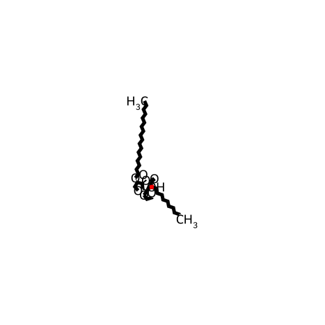 CCCCCCCCCCCCCCCCCC(=O)O[C@H]1CO[C@H](C2(CO)OCCO2)[C@@H]1OC(=O)CCCCCCCCCCC